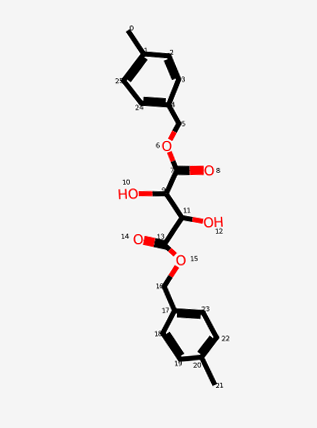 Cc1ccc(COC(=O)C(O)C(O)C(=O)OCc2ccc(C)cc2)cc1